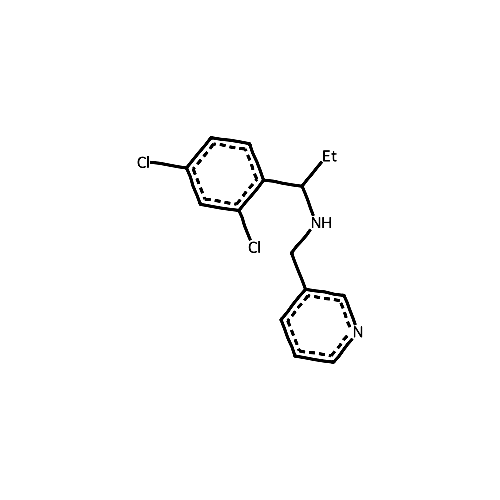 CCC(NCc1cccnc1)c1ccc(Cl)cc1Cl